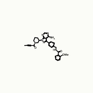 CC#CC(=O)N1CCCC(n2nc(-c3ccc(CNC(=O)c4ccccc4OC)cc3)c3c(N)ncnc32)C1